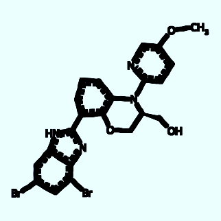 COc1ccc(N2c3cccc(-c4nc5c(Br)cc(Br)cc5[nH]4)c3OC[C@@H]2CO)nc1